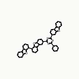 c1ccc(-c2nc(-c3ccc4c(c3)sc3ccccc34)nc(-c3ccc4oc5c(-c6cccc7c6oc6ccccc67)cccc5c4c3)n2)cc1